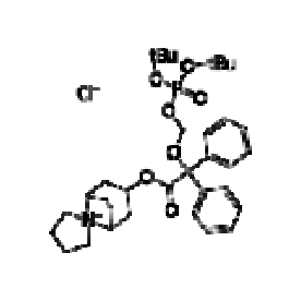 CC(C)(C)OP(=O)(OCOC(C(=O)OC1CC2CCC(C1)[N+]21CCCC1)(c1ccccc1)c1ccccc1)OC(C)(C)C.[Cl-]